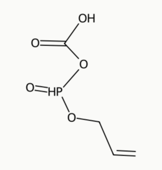 C=CCO[PH](=O)OC(=O)O